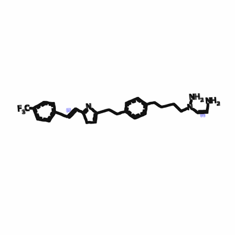 N/C=C\N(N)CCCCc1ccc(CCC2=CCC(/C=C/c3ccc(C(F)(F)F)cc3)=N2)cc1